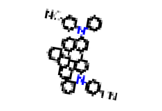 N#Cc1ccc(N(c2ccccc2)c2ccc3c(c2)C2(c4ccccc4-c4ccccc42)c2cccc4c(N(c5ccccc5)c5ccc(C#N)cc5)ccc-3c24)cc1